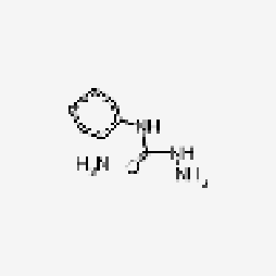 N.NNC(=O)Nc1ccccc1